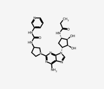 CCC(=O)N[C@H]1C[C@@H](n2cnc3c(N)nc(N4CCC(NC(=O)Nc5cccnc5)C4)nc32)[C@H](O)[C@@H]1O